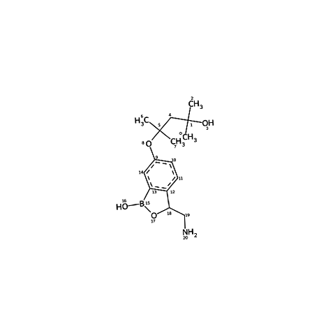 CC(C)(O)CC(C)(C)Oc1ccc2c(c1)B(O)OC2CN